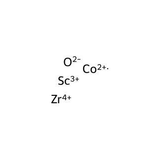 [Co+2].[O-2].[Sc+3].[Zr+4]